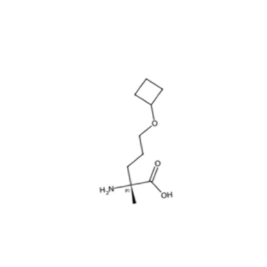 C[C@@](N)(CCCOC1CCC1)C(=O)O